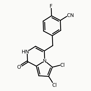 N#Cc1cc(Cc2c[nH]c(=O)c3cc(Cl)c(Cl)n23)ccc1F